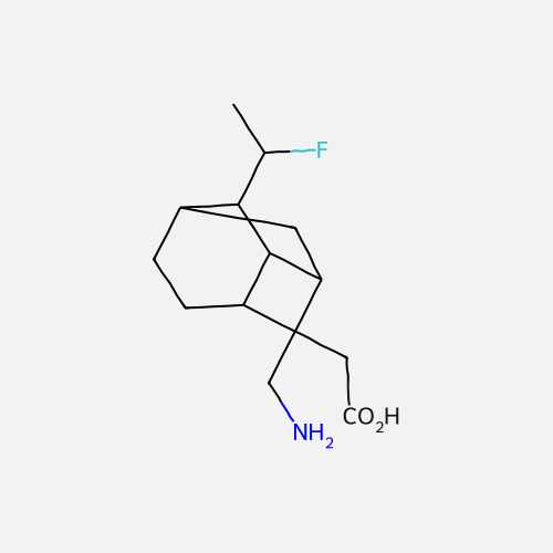 CC(F)C1C2CCC3C1C(C2)C3(CN)CC(=O)O